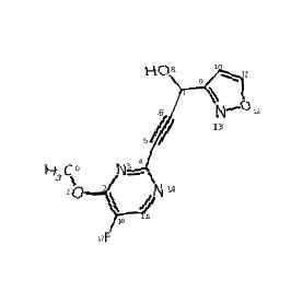 COc1nc(C#CC(O)c2ccon2)ncc1F